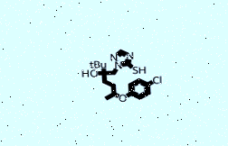 CC(CCC(O)(Cn1ncnc1S)C(C)(C)C)Oc1ccc(Cl)cc1